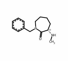 CN[C@H]1CCCCN(Cc2ccccc2)C1=O